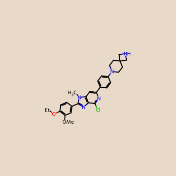 CCOc1ccc(-c2nc3c(Cl)nc(-c4ccc(N5CCC6(CC5)CNC6)cc4)cc3n2C)cc1OC